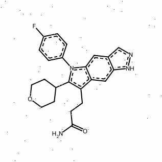 NC(=O)CCc1c(C2CCOCC2)n(-c2ccc(F)cc2)c2cc3cn[nH]c3cc12